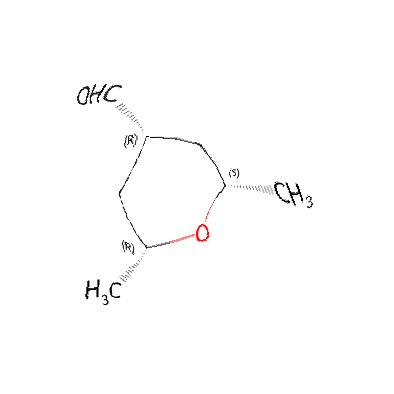 C[C@@H]1C[C@H](C=O)C[C@H](C)O1